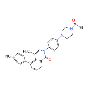 CCC(=O)N1CCN(c2ccc(-n3cc(C)c4c(-c5ccc(C#N)cc5)cccc4c3=O)cc2)CC1